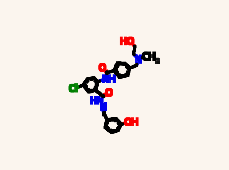 CN(CCO)Cc1ccc(C(=O)Nc2ccc(Cl)cc2C(=O)N/N=C/c2cccc(O)c2)cc1